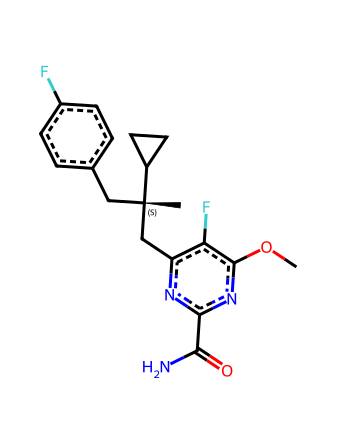 COc1nc(C(N)=O)nc(C[C@](C)(Cc2ccc(F)cc2)C2CC2)c1F